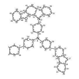 c1ccc(-c2ccc(N(c3ccc(-c4ccc5sc6ccccc6c5c4)cc3)c3ccc(-n4c5ccccc5c5ccc6c7ccccc7oc6c54)cc3)cc2)cc1